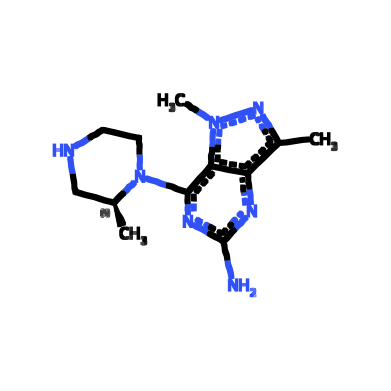 Cc1nn(C)c2c(N3CCNC[C@@H]3C)nc(N)nc12